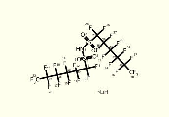 O=S(=O)(NS(=O)(=O)C(F)(F)C(F)(F)C(F)(F)C(F)(F)C(F)(F)C(F)(F)F)C(F)(F)C(F)(F)C(F)(F)C(F)(F)C(F)(F)C(F)(F)F.[LiH]